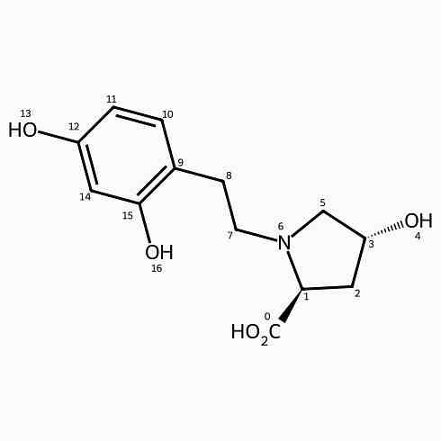 O=C(O)[C@@H]1C[C@@H](O)CN1CCc1ccc(O)cc1O